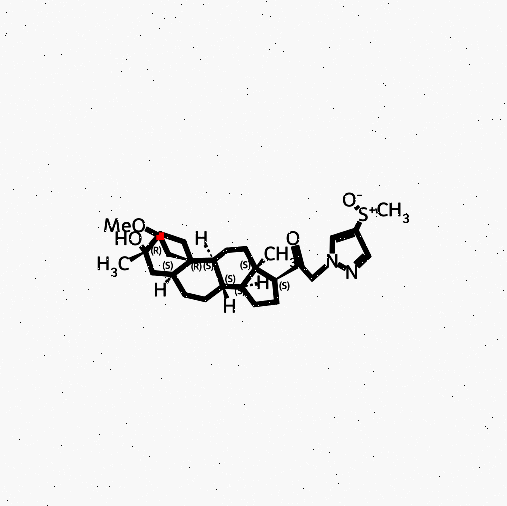 COCC[C@]12CC[C@@](C)(O)C[C@@H]1CC[C@H]1[C@@H]3CC[C@H](C(=O)Cn4cc([S+](C)[O-])cn4)[C@@]3(C)CC[C@@H]12